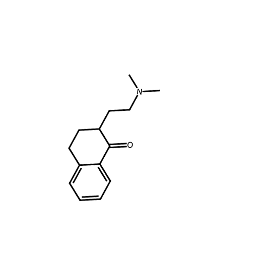 CN(C)CCC1CCc2ccccc2C1=O